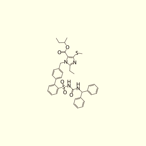 CCc1nc(SC)c(C(=O)OC(C)CC)n1Cc1ccc(-c2ccccc2S(=O)(=O)NC(=O)NC(c2ccccc2)c2ccccc2)cc1